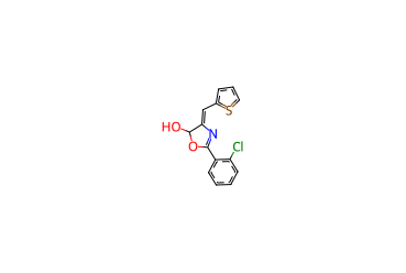 OC1OC(c2ccccc2Cl)=N/C1=C\c1cccs1